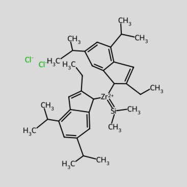 CCC1=Cc2c(C(C)C)cc(C(C)C)cc2[CH]1[Zr+2]([CH]1C(CC)=Cc2c(C(C)C)cc(C(C)C)cc21)=[Si](C)C.[Cl-].[Cl-]